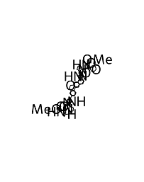 COC(=O)N[C@@H]1C(=O)N2[C@H](CC[C@H]2c2ncc(-c3ccc4c(c3)COc3cc5c(ccc6nc([C@@H]7CC[C@H](C)N7C(=O)[C@H](NC(=O)OC)C7C[C@@H](C)O[C@H](C)C7)[nH]c65)cc3-4)[nH]2)CC1C